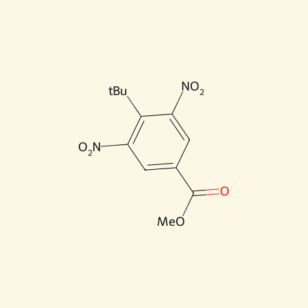 COC(=O)c1cc([N+](=O)[O-])c(C(C)(C)C)c([N+](=O)[O-])c1